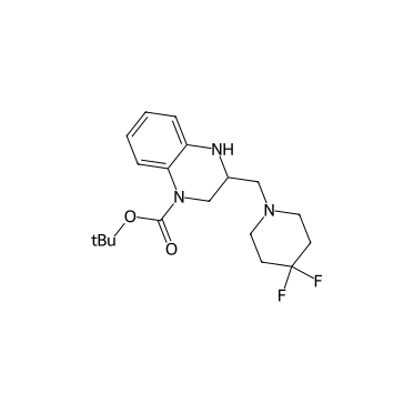 CC(C)(C)OC(=O)N1CC(CN2CCC(F)(F)CC2)Nc2ccccc21